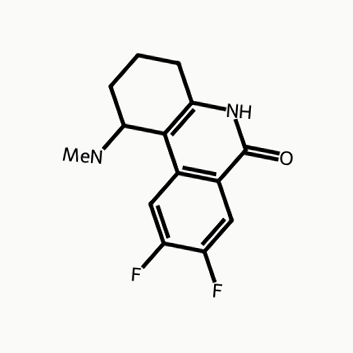 CNC1CCCc2[nH]c(=O)c3cc(F)c(F)cc3c21